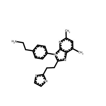 Cc1cc(C)c2nc(CCc3nccs3)n(-c3ccc(CCN)cc3)c2n1